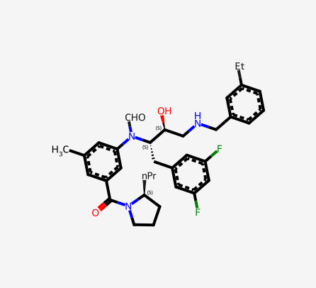 CCC[C@H]1CCCN1C(=O)c1cc(C)cc(N(C=O)[C@@H](Cc2cc(F)cc(F)c2)[C@@H](O)CNCc2cccc(CC)c2)c1